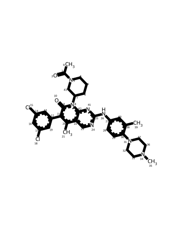 CC(=O)N1CCCC(n2c(=O)c(-c3cc(Cl)cc(Cl)c3)c(C)c3cnc(Nc4ccc(N5CCN(C)CC5)c(C)c4)nc32)C1